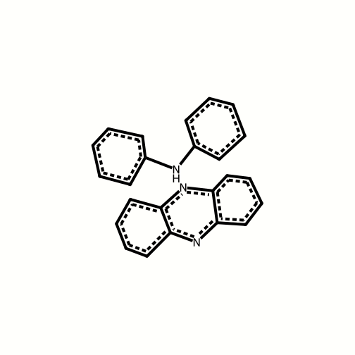 c1ccc(Nc2ccccc2)cc1.c1ccc2nc3ccccc3nc2c1